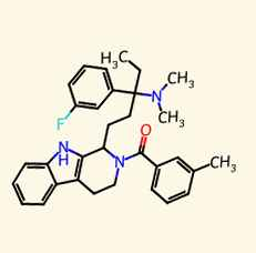 CCC(CCC1c2[nH]c3ccccc3c2CCN1C(=O)c1cccc(C)c1)(c1cccc(F)c1)N(C)C